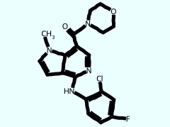 Cn1ccc2c(Nc3ccc(F)cc3Cl)ncc(C(=O)N3CCOCC3)c21